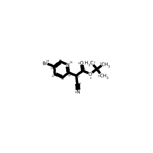 CC(C)(C)OC(=O)C(C#N)c1ccc(Br)cn1